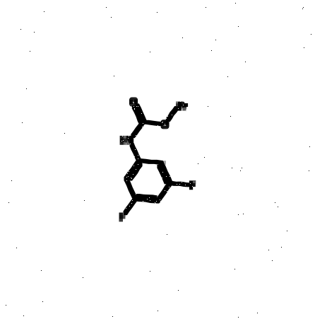 CC(C)OC(=O)Nc1[c]c(F)cc(F)c1